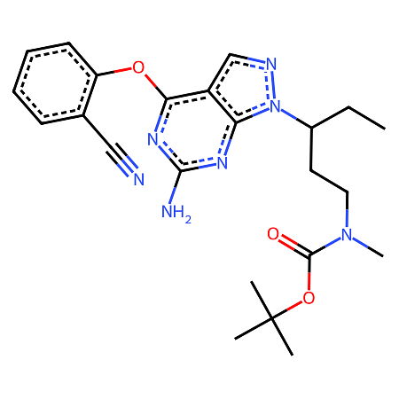 CCC(CCN(C)C(=O)OC(C)(C)C)n1ncc2c(Oc3ccccc3C#N)nc(N)nc21